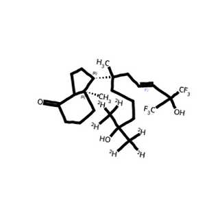 [2H]C([2H])([2H])C(O)(CCCC(C)(C/C=C/C(O)(C(F)(F)F)C(F)(F)F)[C@H]1CCC2C(=O)CCC[C@@]21C)C([2H])([2H])[2H]